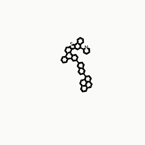 c1ccc(-c2cc3c(sc4ccc5c6ccccc6c6cc(-c7ccc8cc(-c9ccc%10ccc%11cccc%12ccc9c%10c%11%12)ccc8c7)ccc6c5c43)c3ccccc23)nc1